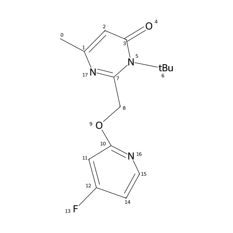 Cc1cc(=O)n(C(C)(C)C)c(COc2cc(F)ccn2)n1